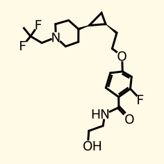 CC(F)(F)CN1CCC([C@H]2C[C@H]2CCOc2ccc(C(=O)NCCO)c(F)c2)CC1